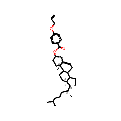 C=CCOc1ccc(C(=O)OC2CC[C@@]3(C)C(=CCC4C3CC[C@@]3(C)C4CC[C@@H]3[C@H](C)CCCC(C)C)C2)cc1